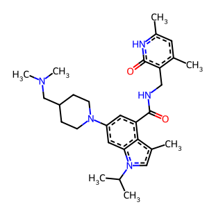 Cc1cc(C)c(CNC(=O)c2cc(N3CCC(CN(C)C)CC3)cc3c2c(C)cn3C(C)C)c(=O)[nH]1